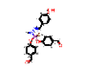 CN(/N=C/c1ccc(O)cc1)P(=S)(Oc1ccc(C=O)cc1)Oc1ccc(C=O)cc1